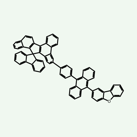 c1ccc2c(c1)-c1ccccc1C21c2c(ccc3ccccc23)-c2c1c1ccc(-c3ccc(-c4c5ccccc5c(-c5ccc6oc7ccccc7c6c5)c5ccccc45)cc3)cc1c1ccccc21